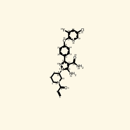 C=CC(=O)N1CCC[C@@H](n2nc(-c3ccc(Oc4ncc(Cl)cc4F)cc3)c(C(N)=O)c2N)C1